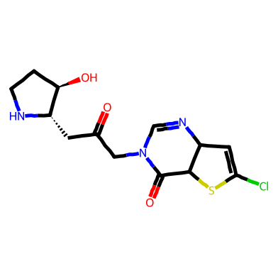 O=C(C[C@@H]1NCC[C@H]1O)CN1C=NC2C=C(Cl)SC2C1=O